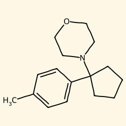 Cc1ccc(C2(N3CCOCC3)CCCC2)cc1